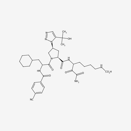 CC(C)(O)c1cnnn1[C@H]1C[C@@H](C(=O)NC(CCCCNC(=O)O)C(=O)C(N)=O)N(C(=O)C(CC2CCCCC2)NC(=O)c2ccc(C#N)cc2)C1